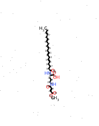 CCC=CCC=CCC=CCC=CCC=CCCCC(=O)N[C@@H](CCCNC(=O)C=CC(=O)OC)C(=O)O